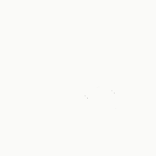 CC(C)c1c(-c2cccc3ccccc23)n(COCc2ccc(Cl)cc2F)c(=O)n(O)c1=O